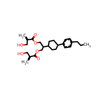 C=C(CO)C(=O)OCC(COC(=O)C(=C)CO)C1CCC(c2ccc(CCC)cc2)CC1